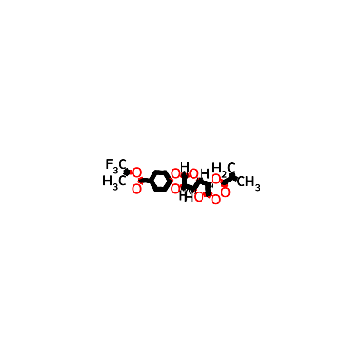 C=C(C)C(=O)O[C@@H]1C(=O)O[C@@H]2[C@H]3OC4(CCC(C(=O)OC(C)C(F)(F)F)CC4)O[C@H]3O[C@@H]21